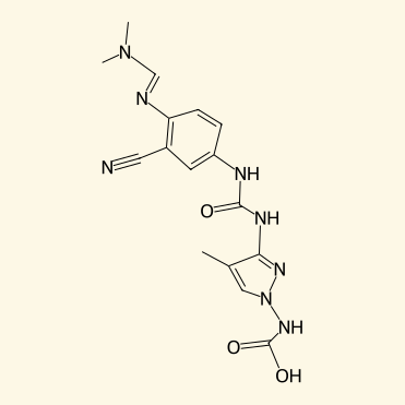 Cc1cn(NC(=O)O)nc1NC(=O)Nc1ccc(N=CN(C)C)c(C#N)c1